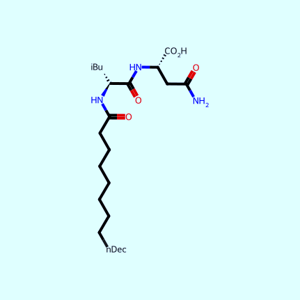 CCCCCCCCCCCCCCCCCC(=O)N[C@H](C(=O)N[C@@H](CC(N)=O)C(=O)O)[C@@H](C)CC